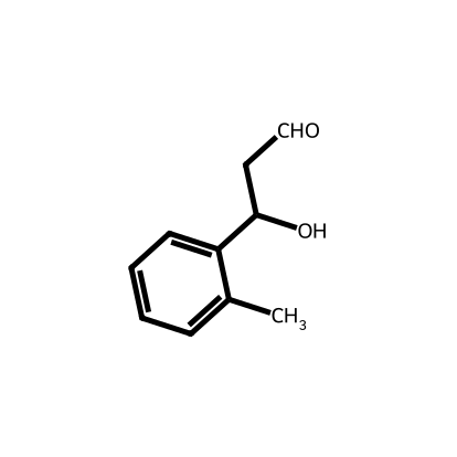 Cc1ccccc1C(O)CC=O